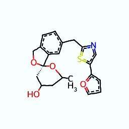 CC1CC(O)C[C@@]2(OCc3ccc(Cc4ncc(-c5ccco5)s4)cc32)O1